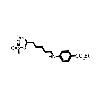 CCCCCCCCCCC(CCCCCNc1ccc(C(=O)OCC)cc1)OS(C)(=O)=O